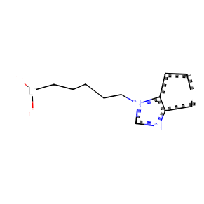 OB(O)CCCCCn1cnc2ccccc21